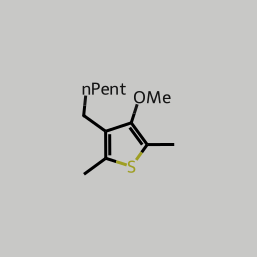 CCCCCCc1c(C)sc(C)c1OC